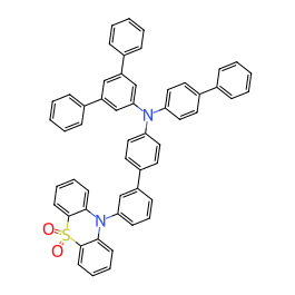 O=S1(=O)c2ccccc2N(c2cccc(-c3ccc(N(c4ccc(-c5ccccc5)cc4)c4cc(-c5ccccc5)cc(-c5ccccc5)c4)cc3)c2)c2ccccc21